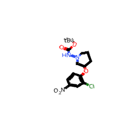 CC(C)(C)OC(=O)NN1CCCC(Oc2ccc([N+](=O)[O-])cc2Cl)C1